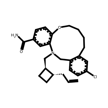 C=CC[C@@H]1CC[C@H]1CN1Cc2ccc(Cl)cc2CCCCOc2ccc(C(N)=O)cc21